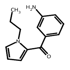 CCCn1cccc1C(=O)c1cccc(N)c1